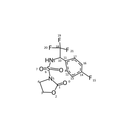 O=C1OCCN1S(=O)(=O)NC(c1ccc(F)cc1)C(F)(F)F